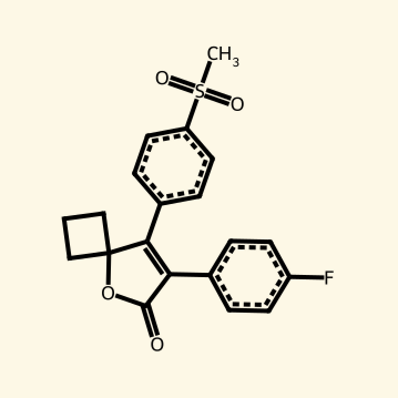 CS(=O)(=O)c1ccc(C2=C(c3ccc(F)cc3)C(=O)OC23CCC3)cc1